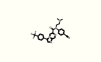 CN(C)CCN(C(=O)c1cn2c(-c3ccc(C(F)(F)F)cc3)cnc2cn1)c1ccc(C#N)cc1